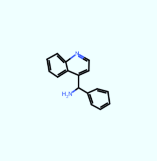 NC(c1ccccc1)c1ccnc2ccccc12